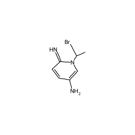 CC(Br)n1cc(N)ccc1=N